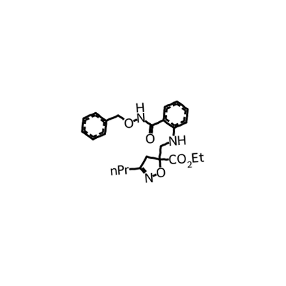 CCCC1=NOC(CNc2ccccc2C(=O)NOCc2ccccc2)(C(=O)OCC)C1